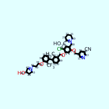 Cc1c(COc2cc(OCc3cncc(C#N)c3)c(CN3CCCC[C@H]3C(=O)O)cc2Cl)cccc1-c1cccc(OCCCN2CC[C@H](O)C2)c1C(F)(F)F